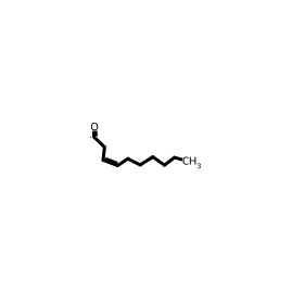 CCCCCC/C=C\C[C]=O